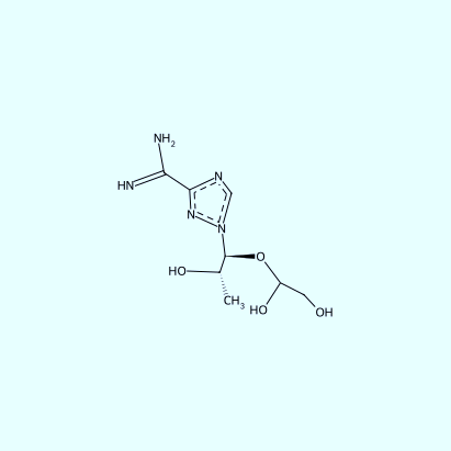 C[C@H](O)[C@H](OC(O)CO)n1cnc(C(=N)N)n1